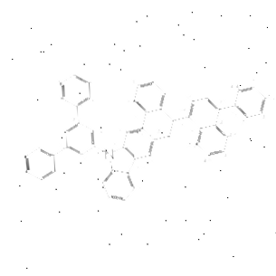 c1ccc(-c2cc(-c3ccccc3)cc(-n3c4ccccc4c4cc5c(cc43)-c3ccccc3C(c3ccc(-c4ccccc4)c4ccccc34)C5)c2)cc1